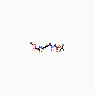 CCOC(=O)c1csc(C#CCNCC(=O)OC(C)(C)C)n1